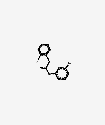 CC(Cc1cccc(Br)c1)Cc1ccccc1N